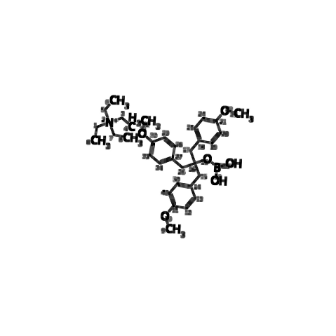 CC[N+](CC)(CC)CC.COc1ccc(CC(Cc2ccc(OC)cc2)(Cc2ccc(OC)cc2)OB(O)O)cc1